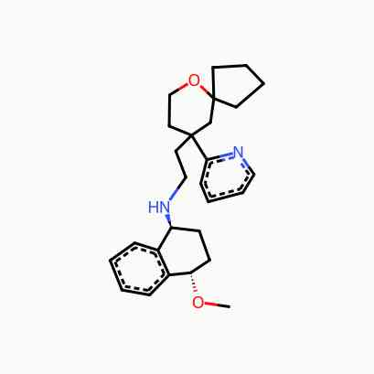 CO[C@H]1CC[C@H](NCCC2(c3ccccn3)CCOC3(CCCC3)C2)c2ccccc21